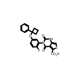 O=C(O)c1scc2[nH]c(=O)n(-c3cc(OC4(c5ccccc5)CCC4)ccc3F)c(=O)c12